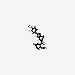 O=C(c1cnc2cc(-c3ccc(Cl)cc3)nn2c1)c1cc(F)ccc1O